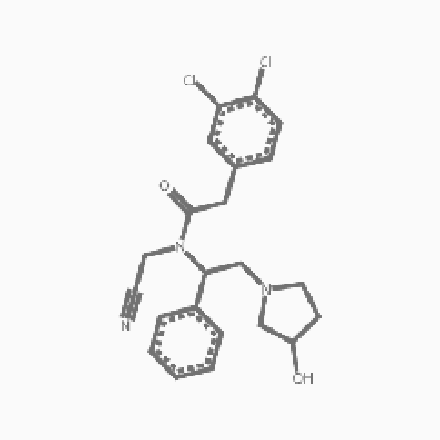 N#CCN(C(=O)Cc1ccc(Cl)c(Cl)c1)C(CN1CCC(O)C1)c1ccccc1